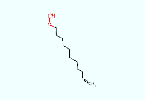 C=CCCCCCCCCCOO